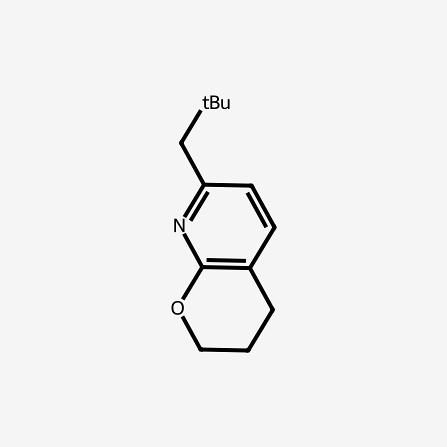 CC(C)(C)Cc1ccc2c(n1)OCCC2